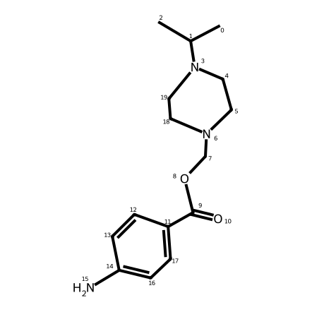 CC(C)N1CCN(COC(=O)c2ccc(N)cc2)CC1